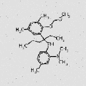 CCCC(CC)(Pc1ccc(C)cc1N(C)C)c1cc(C)cc(C)c1OCOC